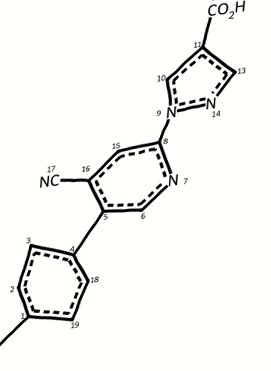 Cc1ccc(-c2cnc(-n3cc(C(=O)O)cn3)cc2C#N)cc1